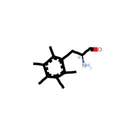 Cc1c(C)c(C)c(C[C@H](N)[C]=O)c(C)c1C